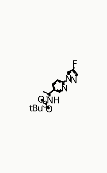 C[C@H](NS(=O)(=O)C(C)(C)C)c1ccc(-n2cc(F)cn2)nc1